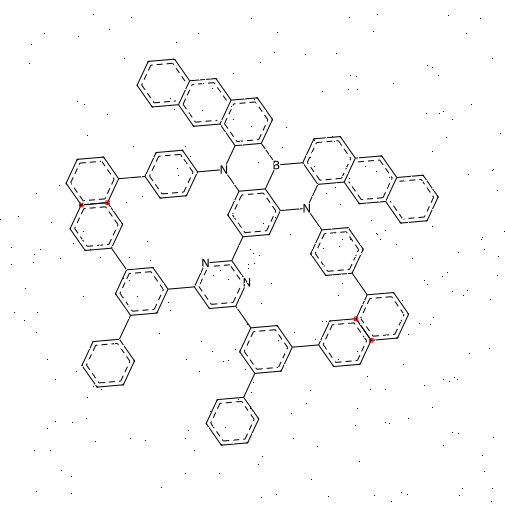 c1ccc(-c2ccc(N3c4cc(-c5nc(-c6cc(-c7ccccc7)cc(-c7ccccc7)c6)cc(-c6cc(-c7ccccc7)cc(-c7ccccc7)c6)n5)cc5c4B(c4ccc6cc7ccccc7cc6c43)c3ccc4cc6ccccc6cc4c3N5c3ccc(-c4ccccc4)cc3)cc2)cc1